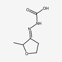 CC1OCCC1=NNC(=O)O